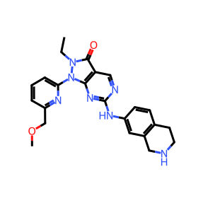 CCn1c(=O)c2cnc(Nc3ccc4c(c3)CNCC4)nc2n1-c1cccc(COC)n1